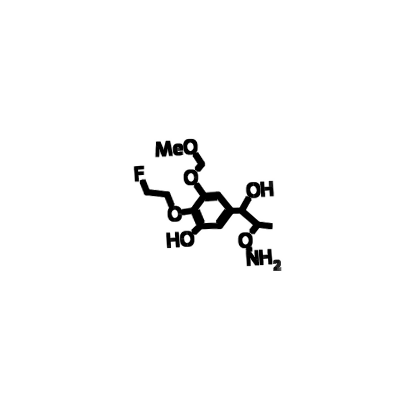 COCOc1cc(C(O)C(C)ON)cc(O)c1OCCF